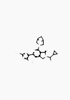 CC(=O)Nc1nc(C)c(-c2cc3c(c(N4CC5CC(C4)O5)n2)C(=O)N(C(C)C2CC2)C3)s1